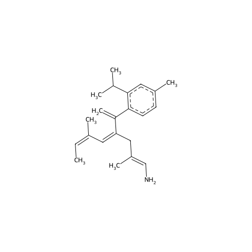 C=C(/C(=C\C(C)=C/C)C/C(C)=C/N)c1ccc(C)cc1C(C)C